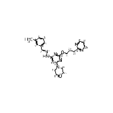 Cc1cccc(/C=N/Nc2cc(N3CCOCC3)nc(OCCCc3ncccn3)n2)c1